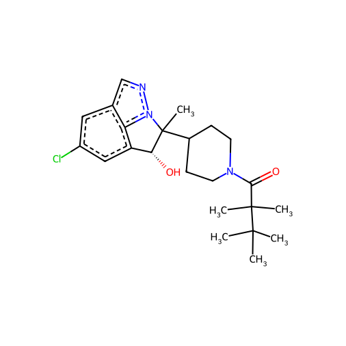 CC1(C2CCN(C(=O)C(C)(C)C(C)(C)C)CC2)[C@H](O)c2cc(Cl)cc3cnn1c23